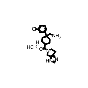 Cl.Cl.NCC1(c2cccc(Cl)c2)CCC(C(=O)N2CCc3nc[nH]c3C2)CC1